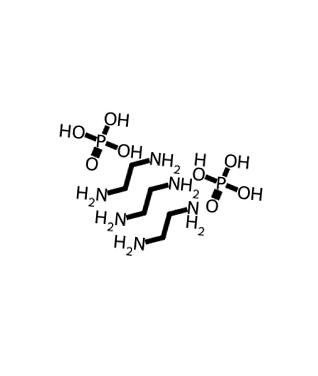 NCCN.NCCN.NCCN.O=P(O)(O)O.O=P(O)(O)O